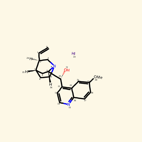 C=C[C@H]1CN2CC[C@H]1C[C@H]2[C@H](O)c1ccnc2ccc(OC)cc12.I